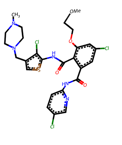 COCCOc1cc(Cl)cc(C(=O)Nc2ccc(Cl)cn2)c1C(=O)Nc1scc(CN2CCN(C)CC2)c1Cl